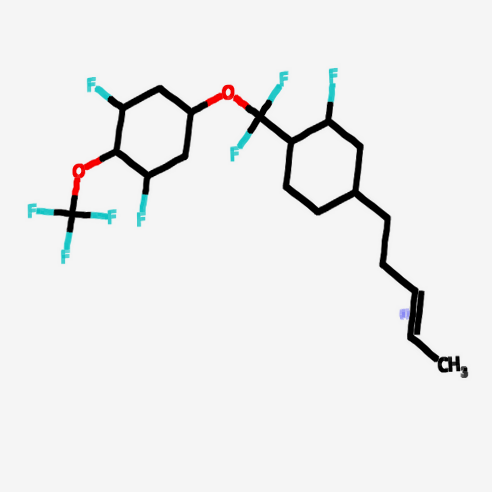 C/C=C/CCC1CCC(C(F)(F)OC2CC(F)C(OC(F)(F)F)C(F)C2)C(F)C1